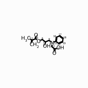 C=C(C)C(=O)OCC(O)CN(CC(=O)O)c1ccccc1